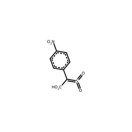 O=C(O)C(c1ccc([N+](=O)[O-])cc1)=S(=O)=O